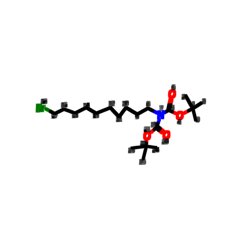 CC(C)(C)OC(=O)N(CCCCCCCCCCBr)C(=O)OC(C)(C)C